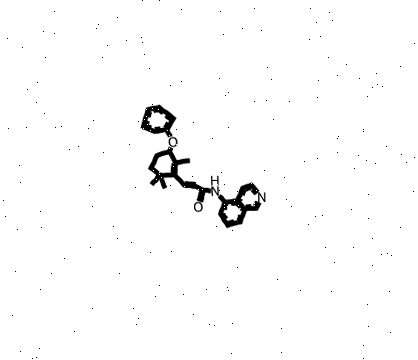 CC1=C(/C=C/C(=O)Nc2cccc3cnccc23)C(C)(C)CCC1Oc1ccccc1